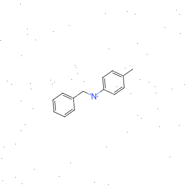 Cc1ccc([N]Cc2ccccc2)cc1